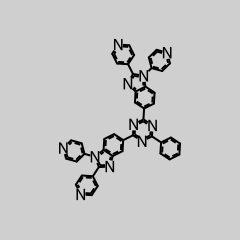 c1ccc(-c2nc(-c3ccc4c(c3)nc(-c3ccncc3)n4-c3ccncc3)nc(-c3ccc4c(c3)nc(-c3ccncc3)n4-c3ccncc3)n2)cc1